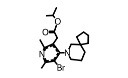 Cc1nc(C)c(CC(=O)OC(C)C)c(N2CCCC3(CCCC3)C2)c1Br